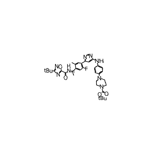 Cc1cc(-c2cc(Nc3ccc(N4CCN(C(=O)OC(C)(C)C)CC4)cc3)ncn2)c(F)cc1[C@@H](C)NC(=O)c1nc(C(C)(C)C)no1